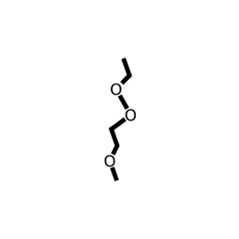 CCOOCCOC